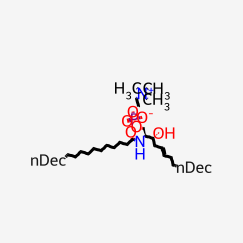 CCCCCCCCCCCCC=CC[C@@H](O)[C@H](COP(=O)([O-])OCC[N+](C)(C)C)NC(=O)CCCCCCCCCCCCCCCCCCCC